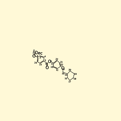 CCCCCCCCCCOc1ccc(C(=O)Oc2ccc(OCC3CC[CH]CC3)cc2)cc1